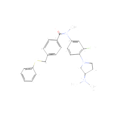 CN(C(=O)c1ccc(CSc2ccccc2)cc1)c1ccc(N2CCC(N(C)C)C2)c(F)c1